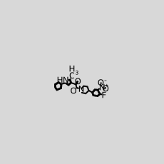 Cc1[nH]c(-c2ccccc2)cc1C(=O)C(=O)N1CCC(c2ccc(F)c([N+](=O)[O-])c2)CC1